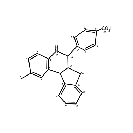 Cc1ccc2c(c1)C1c3ccccc3CC1C(c1ccc(C(=O)O)cc1)N2